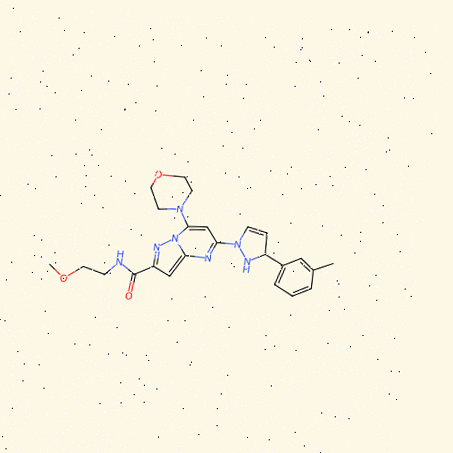 COCCNC(=O)c1cc2nc(N3C=CC(c4cccc(C)c4)N3)cc(N3CCOCC3)n2n1